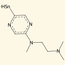 CN(C)CCN(C)c1cn[c]([SnH])cn1